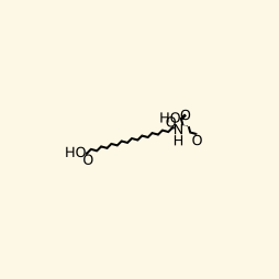 O=CCC[C@H](NC(=O)CCCCCCCCCCCCCCCCC(=O)O)C(=O)O